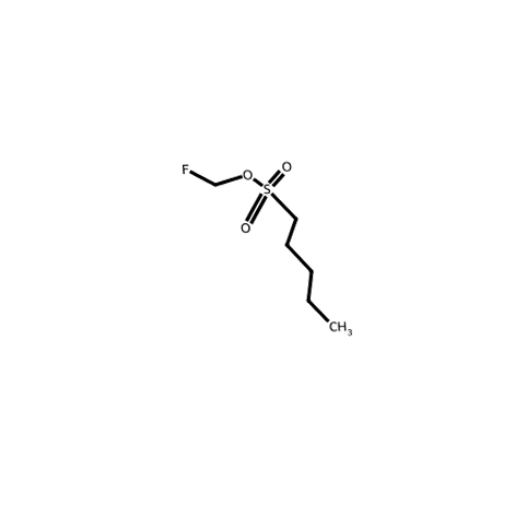 CCCCCS(=O)(=O)OCF